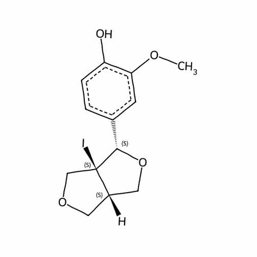 COc1cc([C@@H]2OC[C@@H]3COC[C@@]32I)ccc1O